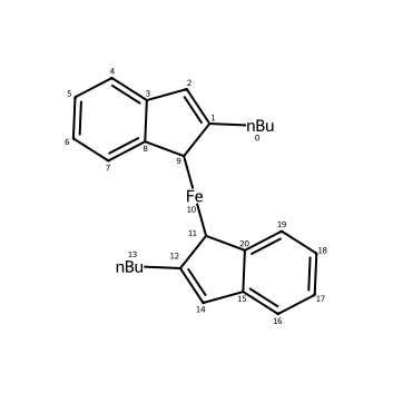 CCCCC1=Cc2ccccc2[CH]1[Fe][CH]1C(CCCC)=Cc2ccccc21